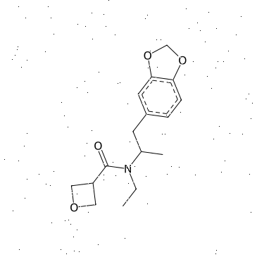 CCN(C(=O)C1COC1)C(C)Cc1ccc2c(c1)OCO2